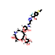 CCSc1ccc([C@@H](OC)[C@@H](CF)n2cc(CCN(C)[C@H]3C[C@@H](C)O[C@@H](O[C@@H]4[C@@H](C)[C@H](O[C@H]5C[C@@](C)(OC)[C@@H](O)[C@H](C)O5)[C@@H](C)C(=O)O[C@H](CC)[C@@](C)(O)[C@H](O)[C@@H](C)N(C)C[C@H](C)C[C@@]4(C)O)[C@@H]3O)nn2)cc1